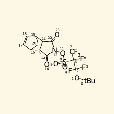 CC(C)(C)OC(F)(F)C(F)(C(F)(F)F)S(=O)(=O)ON1C(=O)C2C3C=CC(C3)C2C1=O